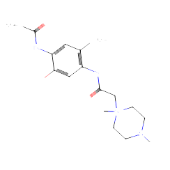 COC(=O)Nc1cc(OC)c(NC(=O)C[N+]2(C)CCN(C)CC2)cc1O.[Cl-]